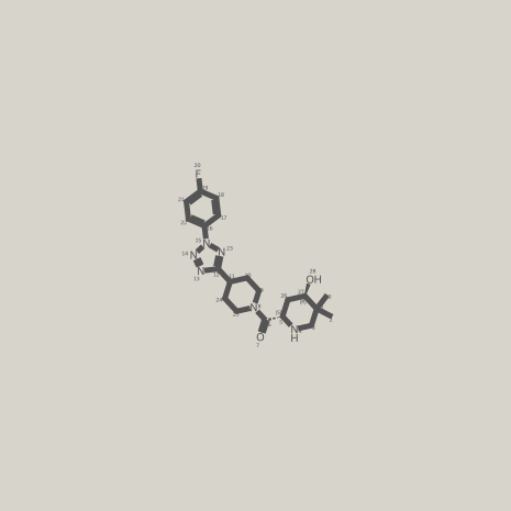 CC1(C)CN[C@H](C(=O)N2CCC(c3nnn(-c4ccc(F)cc4)n3)CC2)C[C@H]1O